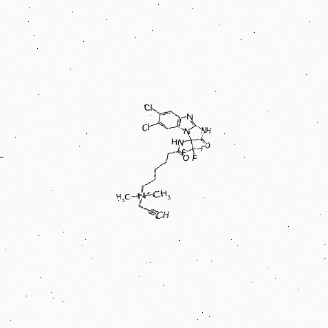 C#CC[N+](C)(C)CCCCCC(=O)NC1(C(F)(F)F)C(=O)Nc2nc3cc(Cl)c(Cl)cc3n21